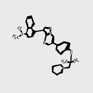 C[S+]([O-])c1ccc(-c2cnn3cc(-c4ccc(OC(C)(C)CN5CCCCC5)cc4)cnc23)c2ccccc12